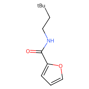 CC(C)(C)CCNC(=O)c1ccco1